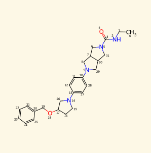 CCNC(=O)N1CC2CN(c3ccc(N4CCC(OCc5ccccc5)C4)cc3)CC2C1